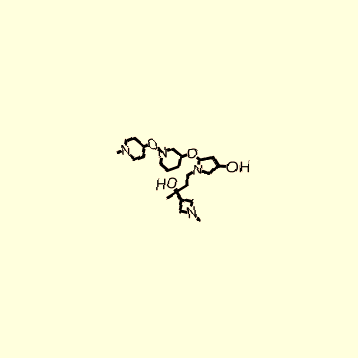 CN1CCC(ON2CCCC(OC3CC(O)CN3CCC(C)(O)C3CN(C)C3)C2)CC1